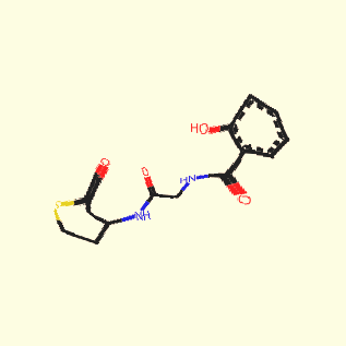 O=C(CNC(=O)c1ccccc1O)NC1CCSC1=O